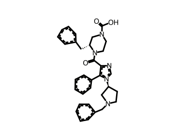 O=C(O)N1CCN(C(=O)c2ncn([C@H]3CCN(Cc4ccccc4)C3)c2-c2ccccc2)[C@H](Cc2ccccc2)C1